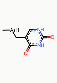 C[AsH]Cc1c[nH]c(=O)[nH]c1=O